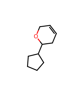 C1=CCC(C2CCCC2)OC1